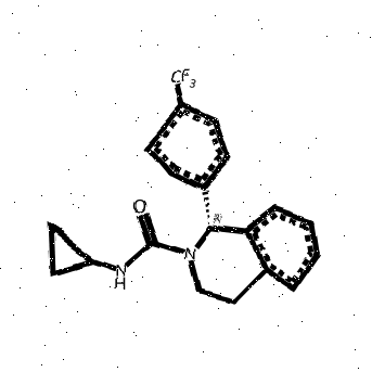 O=C(NC1CC1)N1CCc2ccccc2[C@H]1c1ccc(C(F)(F)F)cc1